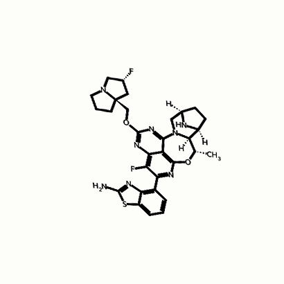 C[C@@H]1Oc2nc(-c3cccc4sc(N)nc34)c(F)c3nc(OC[C@@]45CCCN4C[C@H](F)C5)nc(c23)N2C[C@H]3CC[C@H](N3)[C@@H]12